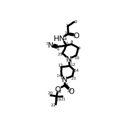 CCC(=O)NC1(C#N)CCCN(C2CCN(C(=O)OC(C)(C)C)CC2)C1